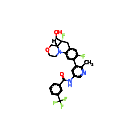 Cc1ncc(NC(=O)c2cccc(C(F)(F)F)c2)cc1-c1cc2c(cc1F)C[C@](F)(CO)[C@H]1COCCN21